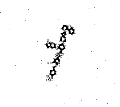 CCS(=O)(CC)=NC1CCC(CNc2ncc(S(=O)(=O)NC(=O)c3ccc(N4CCC5(CC4)CC(N4CCCC4c4ccccc4C(C)C)C5)cc3Oc3cnc4[nH]ccc4c3)cc2[N+](=O)[O-])CC1